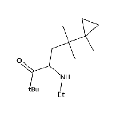 CCNC(CC(C)(C)C1(C)CC1)C(=O)C(C)(C)C